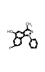 Cc1nn(-c2ccccc2)c2c1cc(O)c1cc(F)ccc12